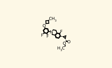 CCOC(=O)[C@H]1C[C@@H]1c1ccc2c(c1F)CCN(c1cc(OC3CC(C)C3)cc(F)c1F)C2